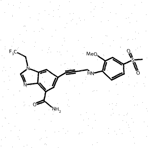 COc1cc(S(C)(=O)=O)ccc1NCC#Cc1cc(C(N)=O)c2ncn(CC(F)(F)F)c2c1